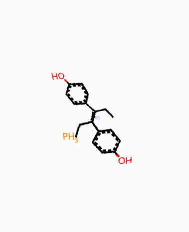 CC/C(=C(/CC)c1ccc(O)cc1)c1ccc(O)cc1.P